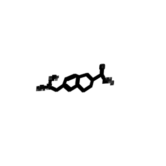 CCCN(CCC)Cc1ccc2c(c1)CCC(C(N)=O)C2